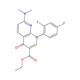 CCOC(=O)c1cn(-c2ccc(F)cc2F)c2nc(N(C)C)ccc2c1=O